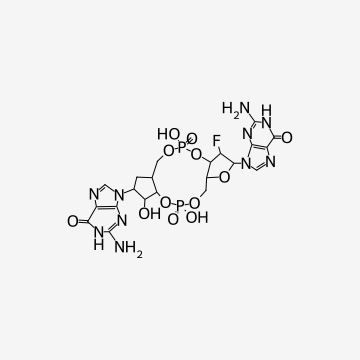 Nc1nc2c(ncn2C2CC3COP(=O)(O)OC4C(COP(=O)(O)OC3C2O)OC(n2cnc3c(=O)[nH]c(N)nc32)C4F)c(=O)[nH]1